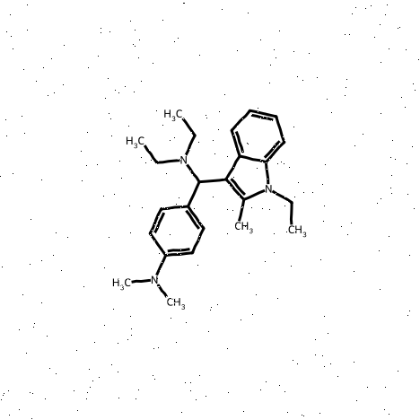 CCN(CC)C(c1ccc(N(C)C)cc1)c1c(C)n(CC)c2ccccc12